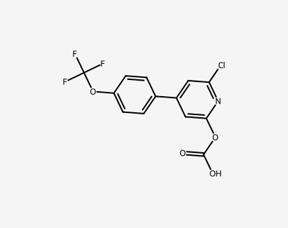 O=C(O)Oc1cc(-c2ccc(OC(F)(F)F)cc2)cc(Cl)n1